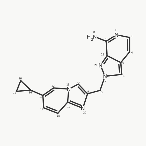 Nc1nccc2cn(Cc3cn4cc(C5CC5)ccc4n3)nc12